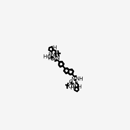 CC(C)(C)OC(=O)N1[C@H](c2nc(-c3ccc4cc(-c5ccc(-c6c[nH]c([C@@]7(C(C)(C)C)C[C@@H]8CCC[C@@H]8N7C(=O)O)n6)cc5)ccc4c3)c[nH]2)C[C@@H]2CCC[C@@H]21